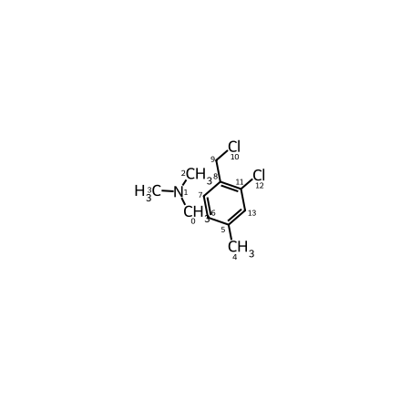 CN(C)C.Cc1ccc(CCl)c(Cl)c1